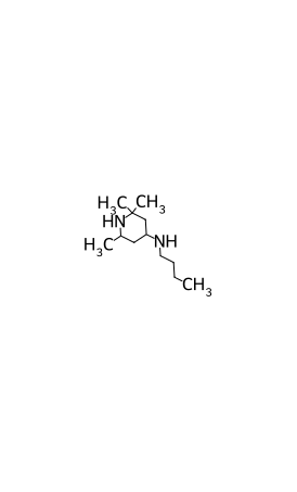 CCCCNC1CC(C)NC(C)(C)C1